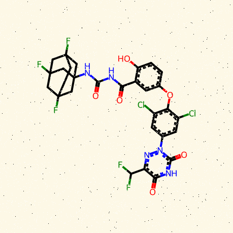 O=C(NC(=O)c1cc(Oc2c(Cl)cc(-n3nc(C(F)F)c(=O)[nH]c3=O)cc2Cl)ccc1O)NC12CC3(F)CC(F)(CC(F)(C3)C1)C2